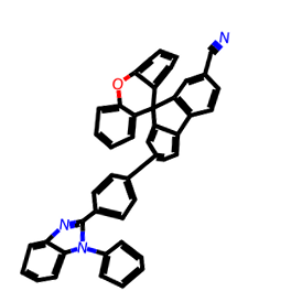 N#Cc1ccc2c(c1)C1(c3ccccc3Oc3ccccc31)c1cc(-c3ccc(-c4nc5ccccc5n4-c4ccccc4)cc3)ccc1-2